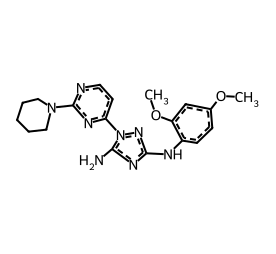 COc1ccc(Nc2nc(N)n(-c3ccnc(N4CCCCC4)n3)n2)c(OC)c1